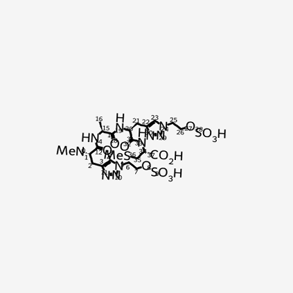 CN[C@@H](Cc1cn(CCOS(=O)(=O)O)nn1)C(=O)N[C@@H](C)C(=O)N[C@@H](Cc1cn(CCOS(=O)(=O)O)nn1)C(=O)N[C@@H](CSC)C(=O)O